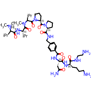 CC(C)C(C(=O)N[C@H](C(=O)N(C)C(C(=O)N1CCC[C@H]1C(=O)N1CCC[C@H]1C(=O)NCc1ccc(C(=O)N[C@@H](CC(N)=O)C(=O)N[C@H](CCCCN)C(=O)NCCN)cc1)C(C)C)C(C)C)N(C)C